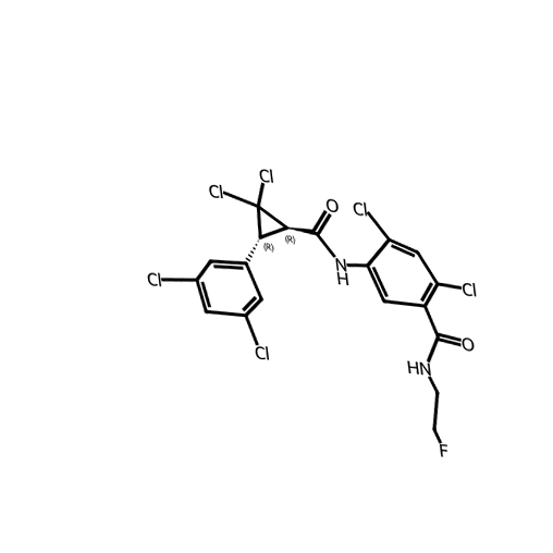 O=C(NCCF)c1cc(NC(=O)[C@H]2[C@H](c3cc(Cl)cc(Cl)c3)C2(Cl)Cl)c(Cl)cc1Cl